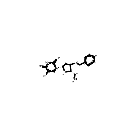 O=c1[nH]c(=O)n([C@@H]2CC(OCc3ccccc3)[C@H](CO)O2)cc1F